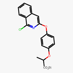 CCOC(=O)C(C)Oc1ccc(Oc2cc3ccccc3c(Cl)n2)cc1